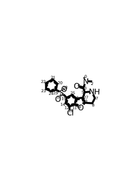 CN(C)C(=O)C1NCCc2oc3c(Cl)cc(S(=O)(=O)c4ccccc4)cc3c21